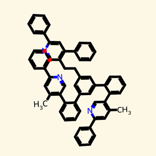 Cc1cc(-c2ccccc2)ncc1-c1ccccc1-c1cc(CCc2cnc(-c3ccccc3)cc2-c2ccccc2)cc(-c2ccccc2-c2cnc(-c3ccccc3)cc2C)c1